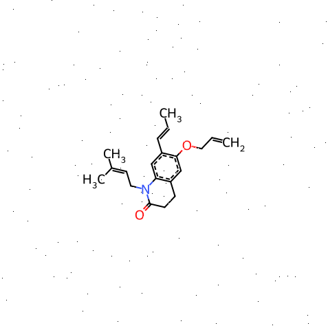 C=CCOc1cc2c(cc1C=CC)N(CC=C(C)C)C(=O)CC2